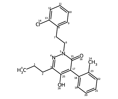 CCCc1nn(CCc2ccccc2Cl)c(=O)c(-c2ccccc2C)c1O